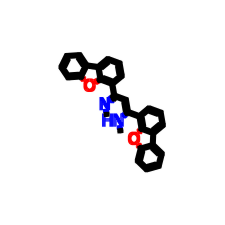 C/N=C(\C=C(/NC)c1cccc2c1oc1ccccc12)c1cccc2c1oc1ccccc12